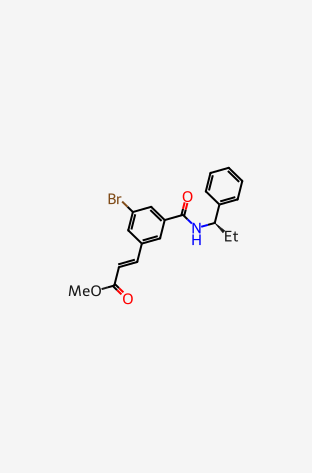 CC[C@@H](NC(=O)c1cc(Br)cc(/C=C/C(=O)OC)c1)c1ccccc1